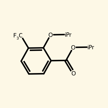 CC(C)OC(=O)c1cccc(C(F)(F)F)c1OC(C)C